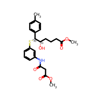 COC(=O)CCC[C@H](O)[C@H](Sc1cccc(NC(=O)CC(=O)OC)c1)c1ccc(C)cc1